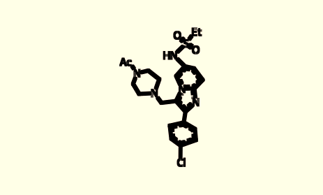 CCS(=O)(=O)Nc1ccc2nc(-c3ccc(Cl)cc3)c(CN3CCN(C(C)=O)CC3)n2c1